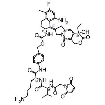 CC[C@@]1(O)C(=O)OCc2c1cc1n(c2=O)C/C(=C2/c3c(N)cc(F)c(C)c3CC[C@@H]2NC(=O)OCc2ccc(NC(=O)[C@H](CCCCN)NC(=O)[C@@H](NC(=O)CN3C(=O)C=CC3=O)C(C)C)cc2)C1